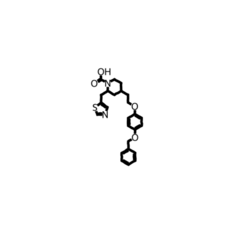 O=C(O)N1CCC(CCOc2ccc(OCc3ccccc3)cc2)CC1Cc1cncs1